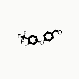 O=Cc1ccc(Oc2ccc(C(F)(F)F)c(F)c2)cc1